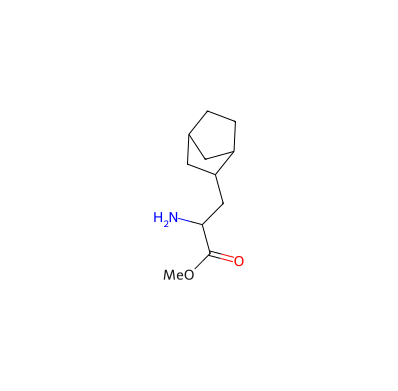 COC(=O)C(N)CC1CC2CCC1C2